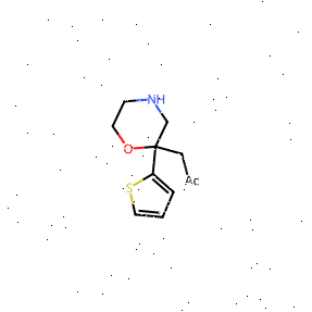 CC(=O)CC1(c2cccs2)CNCCO1